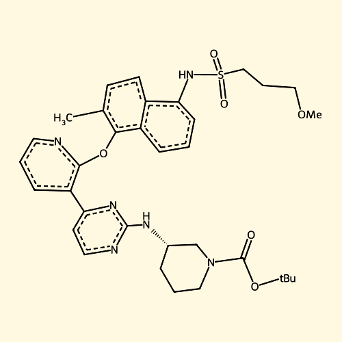 COCCCS(=O)(=O)Nc1cccc2c(Oc3ncccc3-c3ccnc(N[C@H]4CCCN(C(=O)OC(C)(C)C)C4)n3)c(C)ccc12